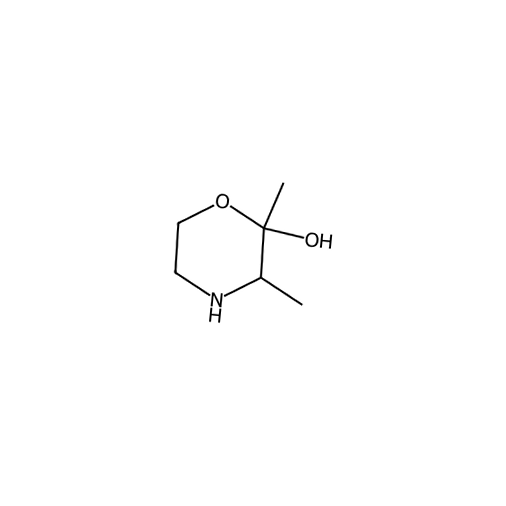 CC1NCCOC1(C)O